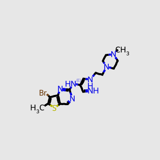 Cc1sc2cnc(N/C(C=N)=C/NCCN3CCN(C)CC3)nc2c1Br